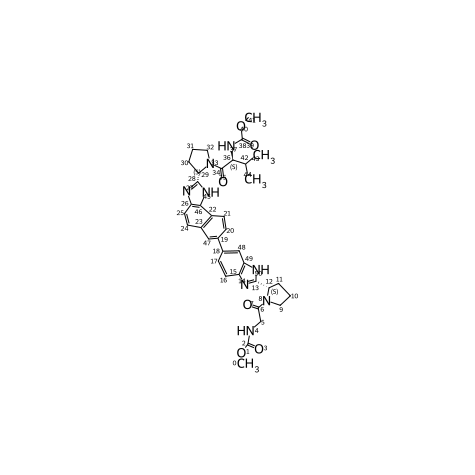 COC(=O)NCC(=O)N1CCC[C@H]1c1nc2ccc(-c3ccc4c(ccc5nc([C@@H]6CCCN6C(=O)[C@@H](NC(=O)OC)C(C)C)[nH]c54)c3)cc2[nH]1